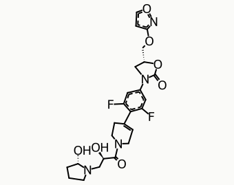 O=C([C@H](O)CN1CCC[C@@H]1O)N1CC=C(c2c(F)cc(N3C[C@H](COc4ccon4)OC3=O)cc2F)CC1